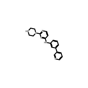 c1cncc(-c2cccc(Nc3ccnc(N4CCNCC4)n3)c2)c1